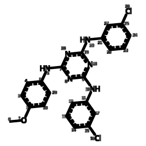 COc1ccc(Nc2nc(Nc3cccc(Cl)c3)nc(Nc3cccc(Cl)c3)n2)cc1